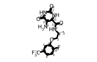 C[C@H](COc1cc(C(F)(F)F)ccc1F)NC(=O)c1[nH]c(=O)[nH]c(=O)c1N